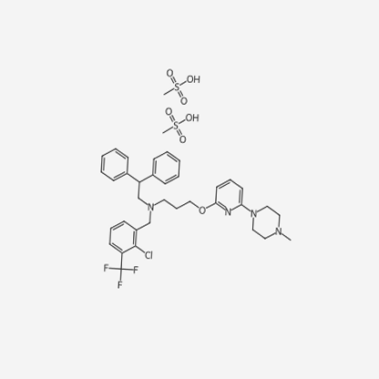 CN1CCN(c2cccc(OCCCN(Cc3cccc(C(F)(F)F)c3Cl)CC(c3ccccc3)c3ccccc3)n2)CC1.CS(=O)(=O)O.CS(=O)(=O)O